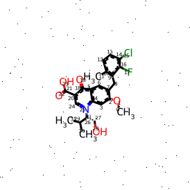 COc1cc2c(cc1Cc1c(C)ccc(Cl)c1F)c(=O)c(C(=O)O)cn2[C@H](CO)C(C)C